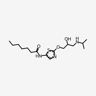 CCCCCCC(=O)Nc1cnc(OCC(O)CNC(C)C)s1